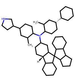 CC1CC(C2CCNC2)CCC1N(C1CC[C@H]2C3CCCCC3C3(C4CCCCC4C4CCCC43)C2C1)C1CC[C@@H](C2CCCCC2)CC1C